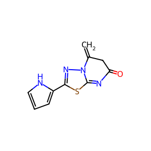 C=C1CC(=O)N=C2SC(c3ccc[nH]3)=NN12